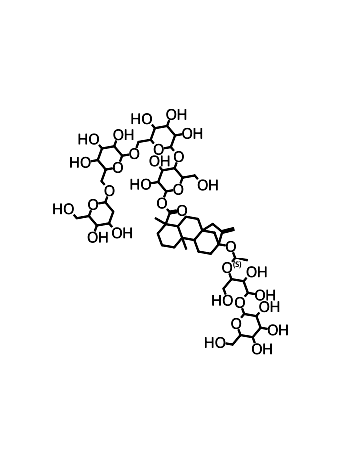 C=C1CC23CCC4C(C)(C(=O)OC5OC(CO)C(OC6OC(COC7OC(COC8CC(O)C(O)C(CO)O8)C(O)C(O)C7O)C(O)C(O)C6O)C(O)C5O)CCCC4(C)C2CCC1(O[C@@H](C)OC(CO)C(O)C(O)OC1OC(CO)C(O)C(O)C1O)C3